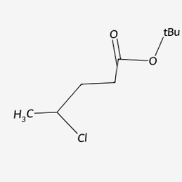 CC(Cl)CCC(=O)OC(C)(C)C